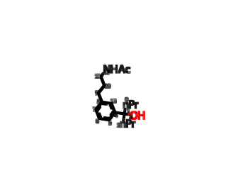 CCCC(O)(CCC)c1cccc(CCCNC(C)=O)c1